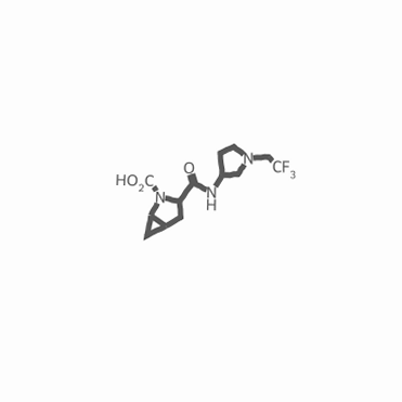 O=C(NC1CCN(CC(F)(F)F)C1)C1CC2CC2N1C(=O)O